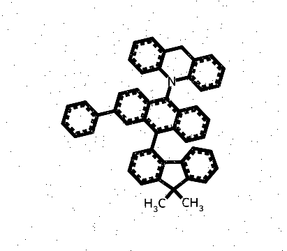 CC1(C)c2ccccc2-c2c(-c3c4ccccc4c(N4c5ccccc5Cc5ccccc54)c4ccc(-c5ccccc5)cc34)cccc21